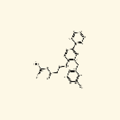 CN(CCOc1ccc(-c2ccccc2)cc1Cc1cccc(Cl)c1)CC(=O)O